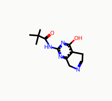 CC(C)(C)C(=O)Nc1nc(O)c2c(n1)CN=CC2